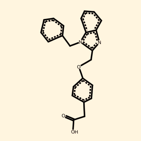 O=C(O)Cc1ccc(OCc2nc3ccccc3n2Cc2ccccc2)cc1